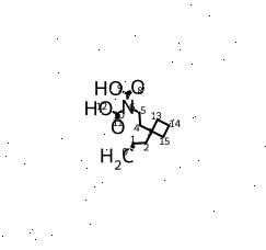 C=CCC1(CCN(C(=O)O)C(=O)O)CCC1